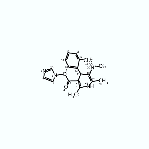 CC1=C(C(=O)On2ccnc2)C(c2ccccc2Cl)C([N+](=O)[O-])=C(C)N1